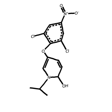 CC(C)N1C=C(Oc2c(Cl)cc([N+](=O)[O-])cc2Cl)C=CC1O